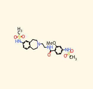 COc1cc(NS(C)(=O)=O)ccc1C(=O)NCCN1CCc2ccc(NS(C)(=O)=O)cc2CC1